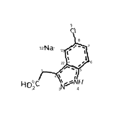 O=C(O)Cc1n[nH]c2ccc(Cl)cc12.[Na]